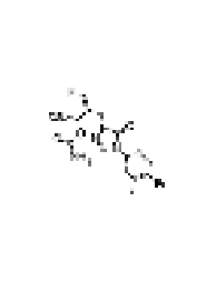 Cc1cc(-n2cnn(CC(=CF)C(OC(N)=O)C(C)(C)C)c2=O)ncc1Br